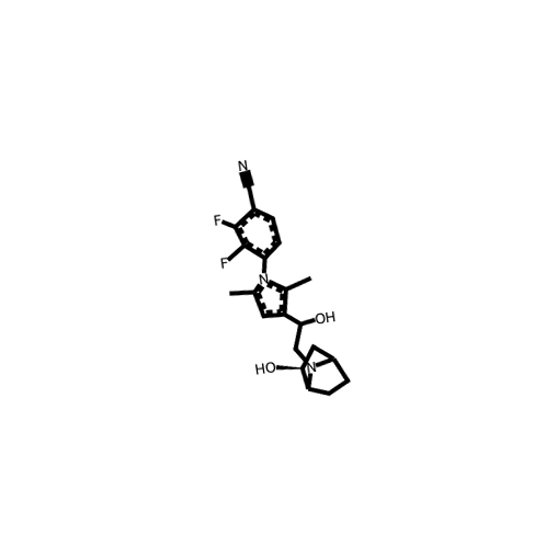 Cc1cc(C(O)CN2C3CCC2[C@@H](O)C3)c(C)n1-c1ccc(C#N)c(F)c1F